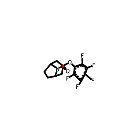 O=CN1C2CCC1CC(Oc1c(F)c(F)c(F)c(F)c1F)C2